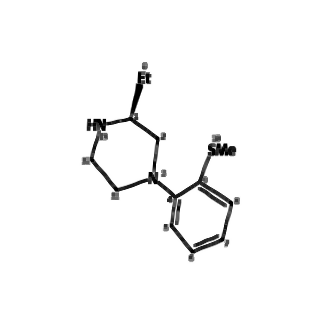 CC[C@H]1CN(c2ccccc2SC)CCN1